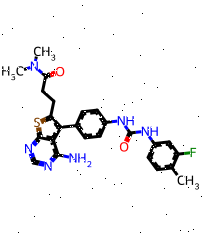 Cc1ccc(NC(=O)Nc2ccc(-c3c(CCC(=O)N(C)C)sc4ncnc(N)c34)cc2)cc1F